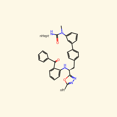 CCCCCCCNC(=O)N(C)c1cccc(-c2ccc(C[C@H](Nc3ccccc3C(=O)c3ccccc3)c3nnc(CCC)o3)cc2)c1